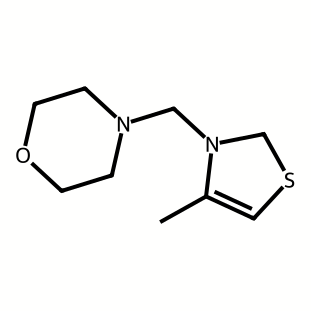 CC1=CSCN1CN1CCOCC1